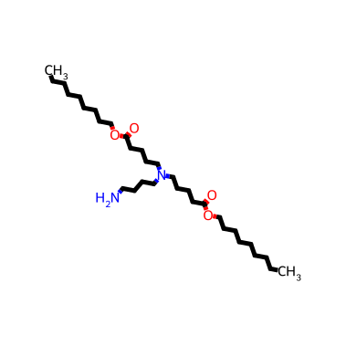 CCCCCCCCCOC(=O)CCCCN(CCCCN)CCCCC(=O)OCCCCCCCCC